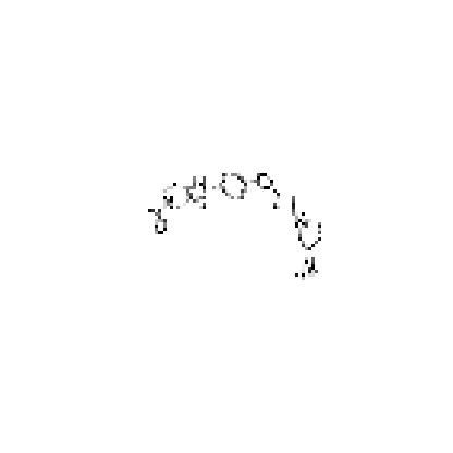 CC(=O)N1CCc2nc(-c3ccc(OC4CC(N5CCC(N(C)C)C5)C4)cc3)sc2C1